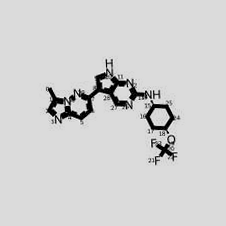 Cc1cnc2ccc(-c3c[nH]c4nc(N[C@H]5CC[C@@H](OC(F)(F)F)CC5)ncc34)nn12